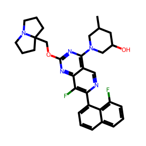 CC1CC(O)CN(c2nc(OCC34CCCN3CCC4)nc3c(F)c(-c4cccc5cccc(F)c45)ncc23)C1